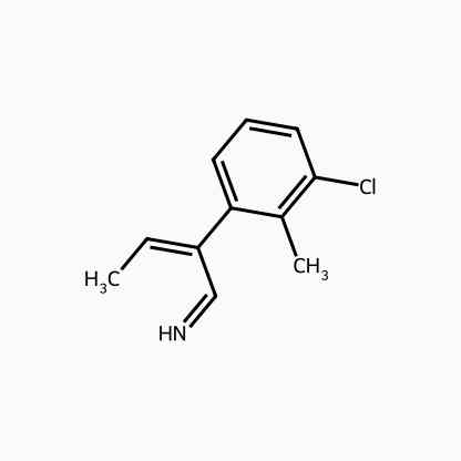 C/C=C(\C=N)c1cccc(Cl)c1C